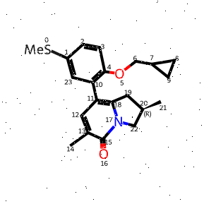 CSc1ccc(OCC2CC2)c(-c2cc(C)c(=O)n3c2C[C@@H](C)C3)c1